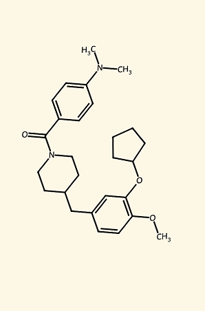 COc1ccc(CC2CCN(C(=O)c3ccc(N(C)C)cc3)CC2)cc1OC1CCCC1